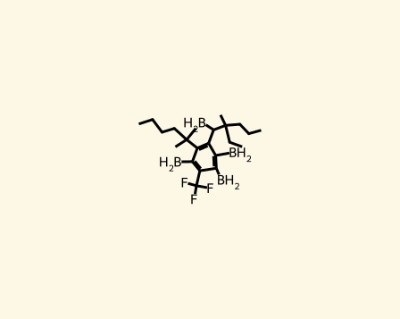 Bc1c(B)c(C(F)(F)F)c(B)c(C(C)(C)CCCC)c1C(B)C(C)(CC)CCC